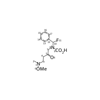 CON(C)CCC(=O)CN(C(=O)O)C(F)c1ccccc1